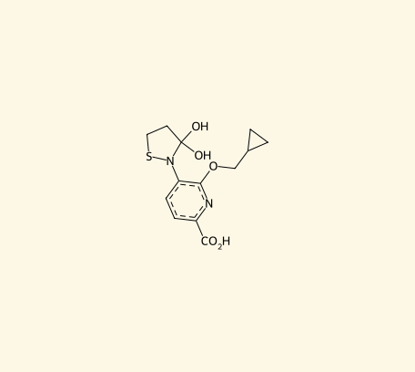 O=C(O)c1ccc(N2SCCC2(O)O)c(OCC2CC2)n1